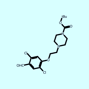 CC(C)(C)OC(=O)N1CCN(CCOc2cc(Cl)c(C=O)cc2Cl)CC1